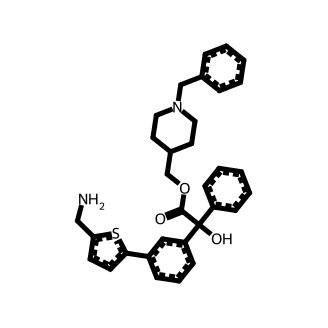 NCc1ccc(-c2cccc(C(O)(C(=O)OCC3CCN(Cc4ccccc4)CC3)c3ccccc3)c2)s1